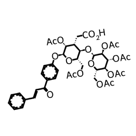 CC(=O)OC[C@@H]1O[C@@H](Oc2ccc(C(=O)/C=C/c3ccccc3)cc2)[C@H](OC(C)=O)[C@H](CC(=O)O)[C@H]1O[C@H]1O[C@@H](COC(C)=O)[C@H](OC(C)=O)[C@@H](OC(C)=O)[C@@H]1OC(C)=O